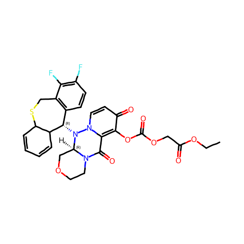 CCOC(=O)COC(=O)Oc1c2n(ccc1=O)N([C@H]1c3ccc(F)c(F)c3CSC3C=CC=CC31)[C@@H]1COCCN1C2=O